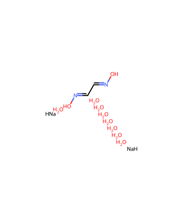 O.O.O.O.O.O.O.O.ON=CC=NO.[NaH].[NaH]